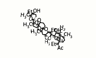 CC[C@@H](C(=O)[C@@H](C)[C@@H](O)[C@H](C)[C@@H]1O[C@@H]([C@@H](CC)C(C)=O)CC[C@@H]1C)[C@H]1O[C@]2(CCC(=O)[C@]3(CC[C@@](C)([C@H]4CC[C@](O)(CC)[C@H](C)O4)O3)O2)[C@H](C)C[C@@H]1C